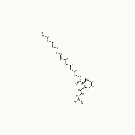 CCCCCCCCC=CCCCCCCCC(=O)C1=NCCCN1CCCN(C)C